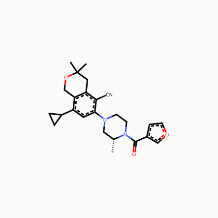 C[C@@H]1CN(c2cc(C3CC3)c3c(c2C#N)CC(C)(C)OC3)CCN1C(=O)c1ccoc1